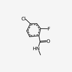 CNC(=O)c1ccc(Cl)cc1F